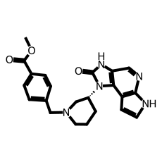 COC(=O)c1ccc(CN2CCC[C@@H](n3c(=O)[nH]c4cnc5[nH]ccc5c43)C2)cc1